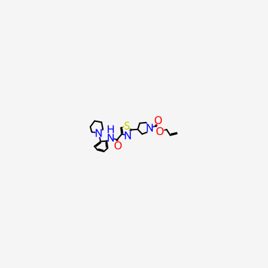 C=CCOC(=O)N1CCC(c2nc(C(=O)Nc3ccccc3N3CCCCC3)cs2)CC1